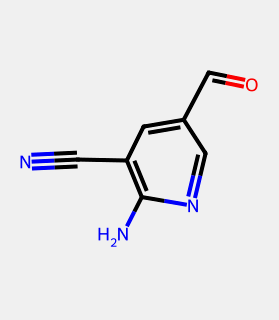 N#Cc1cc(C=O)cnc1N